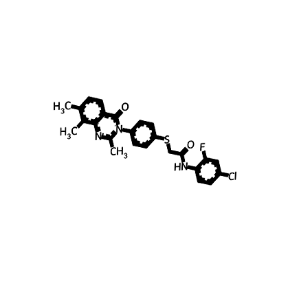 Cc1ccc2c(=O)n(-c3ccc(SCC(=O)Nc4ccc(Cl)cc4F)cc3)c(C)nc2c1C